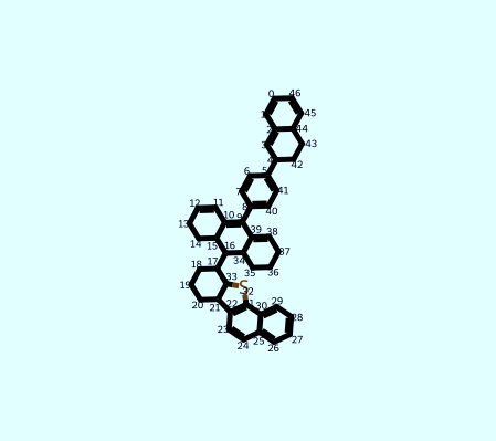 C1=CC2=CC(c3ccc(C4=C5C=CCCC5C(C5CCCC6c7ccc8ccccc8c7SC65)C5CCCC=C45)cc3)CCC2C=C1